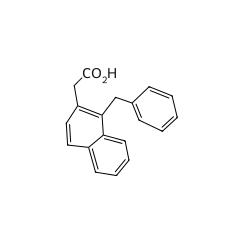 O=C(O)Cc1ccc2ccccc2c1Cc1ccccc1